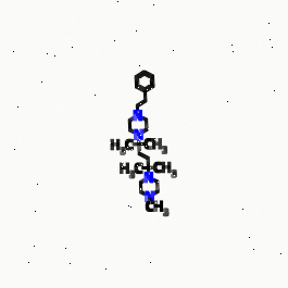 CN1CCN(C(C)(C)CCC(C)(C)N2CCN(CCc3ccccc3)CC2)CC1